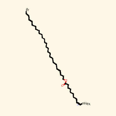 CCCCCC/C=C\CCCCCCCC(=O)OCCCCCCCCCCCCCCCCCCCCCCCCCCCC(C)C